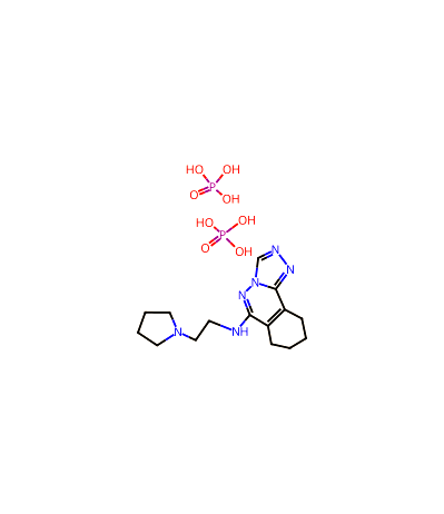 O=P(O)(O)O.O=P(O)(O)O.c1nnc2c3c(c(NCCN4CCCC4)nn12)CCCC3